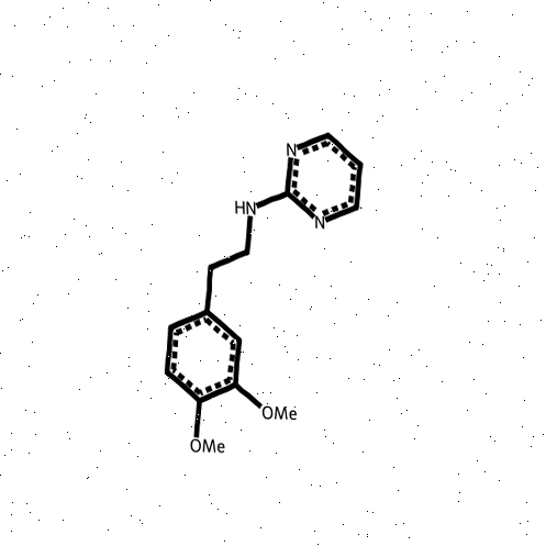 COc1ccc(CCNc2n[c]ccn2)cc1OC